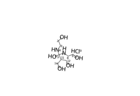 Cl.OCCNC(O)(NCCO)C(CO)CO